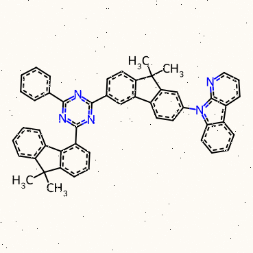 CC1(C)c2ccc(-c3nc(-c4ccccc4)nc(-c4cccc5c4-c4ccccc4C5(C)C)n3)cc2-c2ccc(-n3c4ccccc4c4cccnc43)cc21